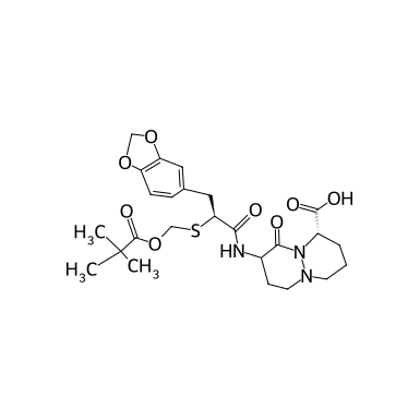 CC(C)(C)C(=O)OCS[C@@H](Cc1ccc2c(c1)OCO2)C(=O)NC1CCN2CCC[C@@H](C(=O)O)N2C1=O